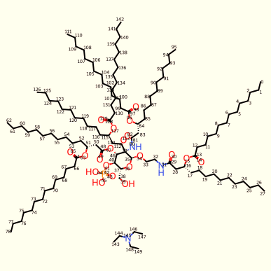 CCCCCCCCCCCCCC(=O)O[C@H](CCCCCCCCCCC)CC(=O)NCCO[C@H]1O[C@H](CO)[C@@H](OP(=O)(O)O)[C@H](OC(=O)C[C@@H](CCCCCCCCCCC)OC(=O)CCCCCCCCCCCCC)[C@@]1(NC(=O)C[C@@H](CCCCCCCCCCC)OC(=O)CCCCCCCCCCCCC)C(=O)C[C@@H](CCCCCCCCCCC)OC(=O)CCCCCCCCCCCCC.CCN(CC)CC